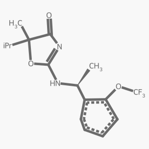 CC(C)C1(C)OC(N[C@@H](C)c2ccccc2OC(F)(F)F)=NC1=O